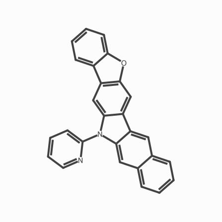 c1ccc(-n2c3cc4ccccc4cc3c3cc4oc5ccccc5c4cc32)nc1